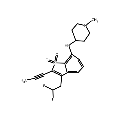 CC#CC1=C(CC(F)F)c2cccc(NC3CCN(C)CC3)c2S1(=O)=O